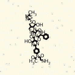 CC(=O)N(C(=O)CN)c1ccc(-c2ncc(C(=O)N(C(=O)C(N)c3ccccc3)C3C(=O)N4C(C(=O)O)=C(CSc5nnc(C)s5)CS[C@@H]34)c(O)n2)cc1